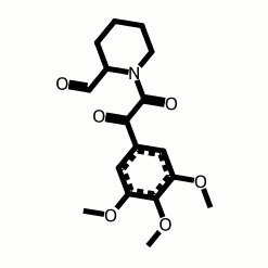 COc1cc(C(=O)C(=O)N2CCCCC2C=O)cc(OC)c1OC